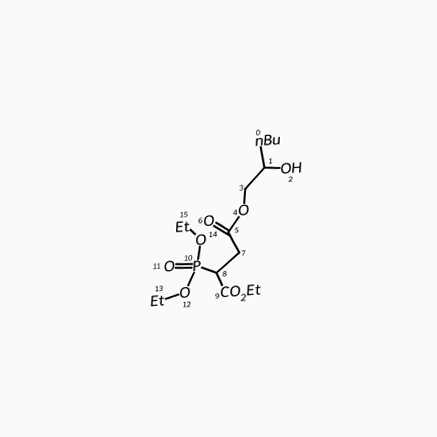 CCCCC(O)COC(=O)CC(C(=O)OCC)P(=O)(OCC)OCC